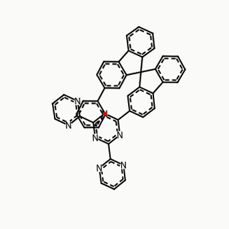 c1ccc(-c2ccc3c(c2)C2(c4ccccc4-3)c3ccccc3-c3ccc(-c4nc(-c5ncccn5)nc(-c5ncccn5)n4)cc32)cc1